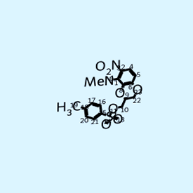 CNc1c([N+](=O)[O-])ccc2c1OC(COS(=O)(=O)c1ccc(C)cc1)CO2